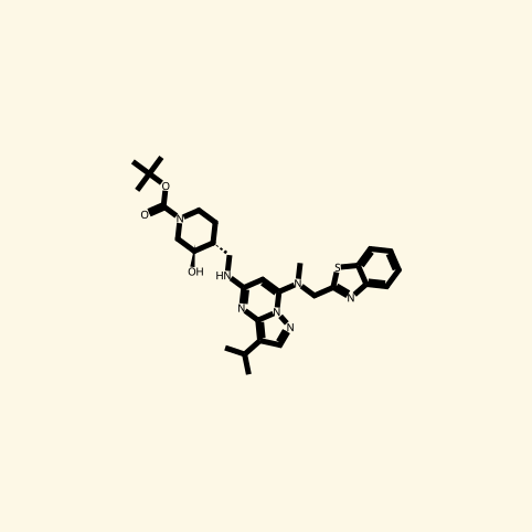 CC(C)c1cnn2c(N(C)Cc3nc4ccccc4s3)cc(NC[C@H]3CCN(C(=O)OC(C)(C)C)C[C@@H]3O)nc12